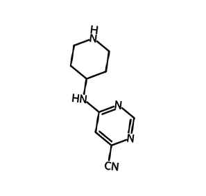 N#Cc1cc(NC2CCNCC2)ncn1